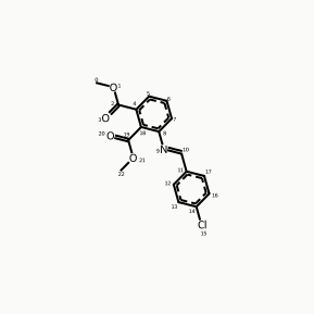 COC(=O)c1cccc(N=Cc2ccc(Cl)cc2)c1C(=O)OC